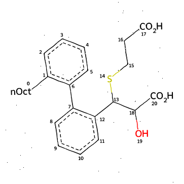 CCCCCCCCc1ccccc1-c1ccccc1C(SCCC(=O)O)C(O)C(=O)O